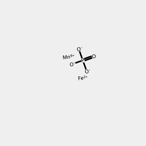 O=P([O-])([O-])[O-].[Fe+2].[Mn+9]